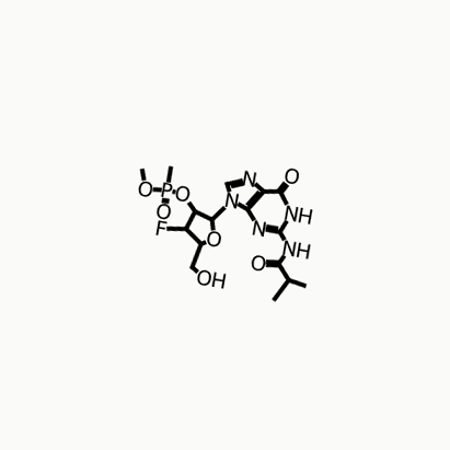 COP(C)(=O)OC1C(F)C(CO)OC1n1cnc2c(=O)[nH]c(NC(=O)C(C)C)nc21